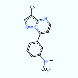 CN(C(=O)O)c1cccc(-c2ccnc3c(C#N)cnn23)c1